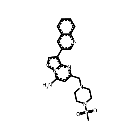 CS(=O)(=O)N1CCN(Cc2cc(N)n3ncc(-c4cnc5ccccc5c4)c3n2)CC1